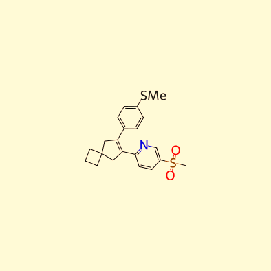 CSc1ccc(C2=C(c3ccc(S(C)(=O)=O)cn3)CC3(CCC3)C2)cc1